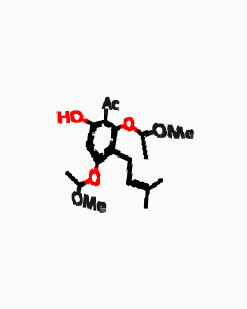 COC(C)Oc1cc(O)c(C(C)=O)c(OC(C)OC)c1CC=C(C)C